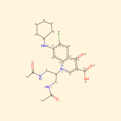 CC(=O)NCC(CNC(C)=O)n1cc(C(=O)O)c(=O)c2cc(F)c(NC3CCCCC3)cc21